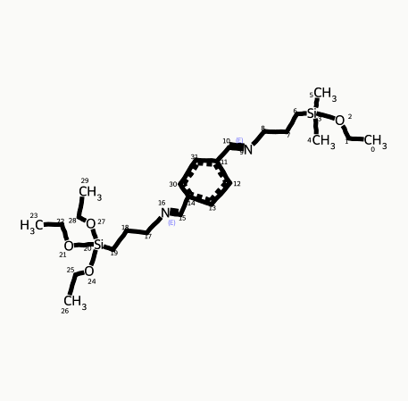 CCO[Si](C)(C)CCC/N=C/c1ccc(/C=N/CCC[Si](OCC)(OCC)OCC)cc1